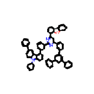 c1ccc(-c2cc(-c3ccccc3)cc(-c3cccc(-c4cc(-c5cccc6c5oc5ccccc56)nc(-c5cccc(-c6cccc7c6c6cc(-c8ccccc8)ccc6n7-c6ccccc6)c5)n4)c3)c2)cc1